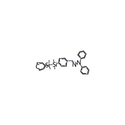 C[Si](C)(c1ccccc1)[Si](C)(C)c1ccc(/C=N/N(c2ccccc2)c2ccccc2)cc1